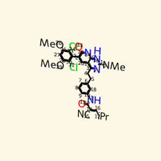 CNc1nc(CCc2cccc(NC(=O)C(C#N)=CC(C)C)c2)c2cc(-c3c(Cl)c(OC)cc(OC)c3Cl)c(=O)nc-2[nH]1